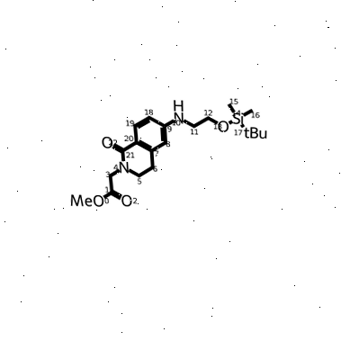 COC(=O)CN1CCc2cc(NCCO[Si](C)(C)C(C)(C)C)ccc2C1=O